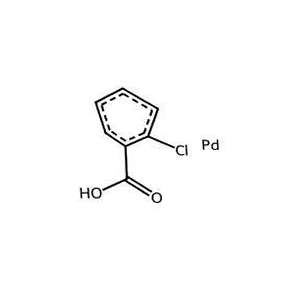 O=C(O)c1ccccc1Cl.[Pd]